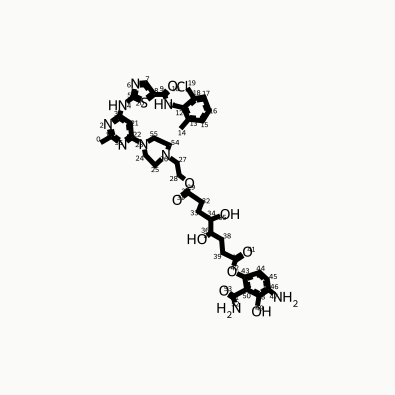 Cc1nc(Nc2ncc(C(=O)Nc3c(C)cccc3Cl)s2)cc(N2CCN(CCOC(=O)CCC(O)C(O)CCC(=O)Oc3ccc(N)c(O)c3C(N)=O)CC2)n1